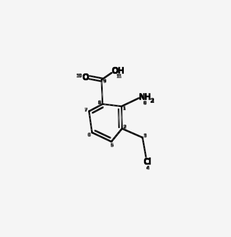 Nc1c(CCl)cccc1C(=O)O